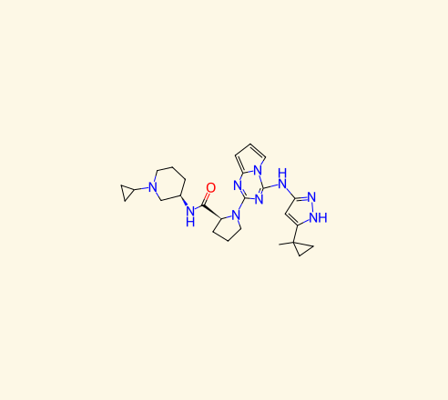 CC1(c2cc(Nc3nc(N4CCC[C@H]4C(=O)N[C@@H]4CCCN(C5CC5)C4)nc4cccn34)n[nH]2)CC1